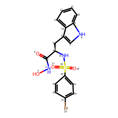 O=C(NO)[C@@H](Cc1c[nH]c2ccccc12)NS(=O)(=O)c1ccc(Br)cc1